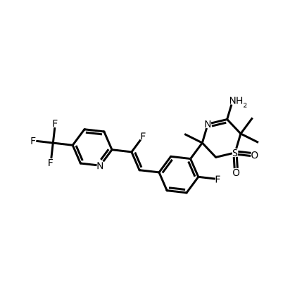 CC1(c2cc(C=C(F)c3ccc(C(F)(F)F)cn3)ccc2F)CS(=O)(=O)C(C)(C)C(N)=N1